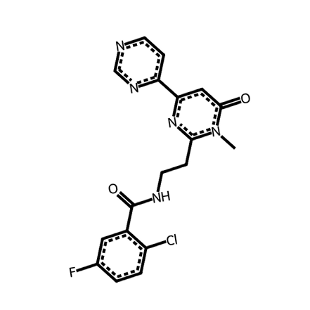 Cn1c(CCNC(=O)c2cc(F)ccc2Cl)nc(-c2ccncn2)cc1=O